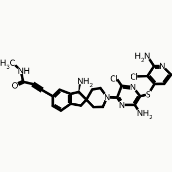 CNC(=O)C#Cc1ccc2c(c1)[C@@H](N)C1(CCN(c3nc(N)c(Sc4ccnc(N)c4Cl)nc3Cl)CC1)C2